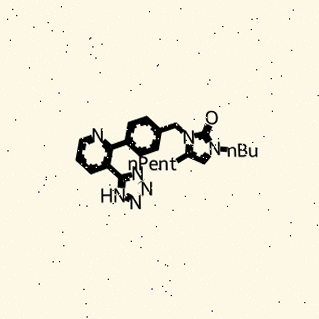 CCCCCc1cn(CCCC)c(=O)n1Cc1ccc(-c2ncccc2-c2nnn[nH]2)cc1